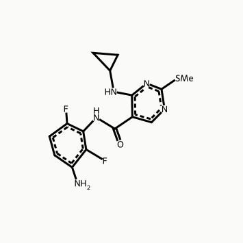 CSc1ncc(C(=O)Nc2c(F)ccc(N)c2F)c(NC2CC2)n1